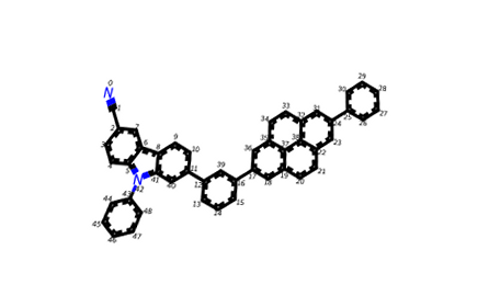 N#Cc1ccc2c(c1)c1ccc(-c3cccc(-c4cc5ccc6cc(-c7ccccc7)cc7ccc(c4)c5c67)c3)cc1n2-c1ccccc1